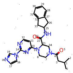 CC(C)CC(=O)N1CCN(c2ccnc(-n3ccnc3)n2)C(C(=O)NC2Cc3ccccc3C2)C1